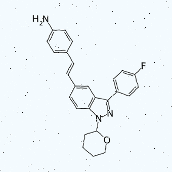 Nc1ccc(C=Cc2ccc3c(c2)c(-c2ccc(F)cc2)nn3C2CCCCO2)cc1